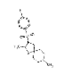 CC1SC2(CCN(C)CC2)CN1S(=O)(=O)c1ccc(F)cc1